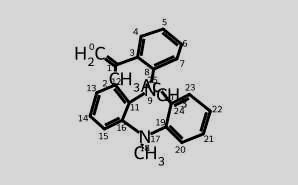 C=C(C)c1ccccc1N(C)c1ccccc1N(C)c1ccccc1C(C)=O